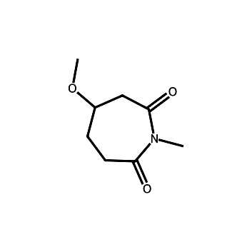 COC1CCC(=O)N(C)C(=O)C1